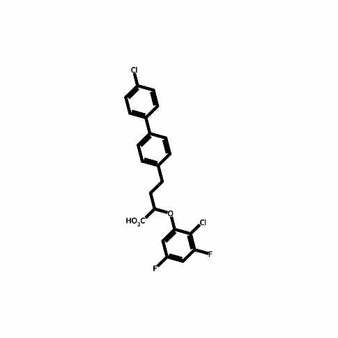 O=C(O)C(CCc1ccc(-c2ccc(Cl)cc2)cc1)Oc1cc(F)cc(F)c1Cl